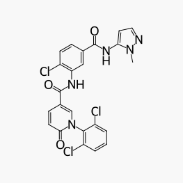 Cn1nccc1NC(=O)c1ccc(Cl)c(NC(=O)c2ccc(=O)n(-c3c(Cl)cccc3Cl)c2)c1